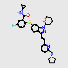 O=C(NC1CC1)c1cc(F)ccc1Sc1ccc2c(/C=C/c3cccc(CN4CCCC4)n3)nn(C3CCCCO3)c2c1